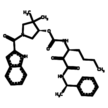 CCCC[C@H](NC(=O)O[C@@H]1CN(C(=O)c2cc3ccccc3[nH]2)CC1(C)C)C(=O)C(=O)N[C@H](C)c1ccccc1